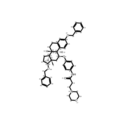 C[C@]12C[C@H](Oc3ccc(NC(=O)CCN4CCOCC4)cc3)[C@@H]3c4ccc(OCc5ccccc5)cc4CC[C@H]3[C@@H]1CC[C@@H]2OCc1ccccc1